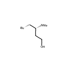 CC[C@@H](C)C[C@@H](CCO)NC